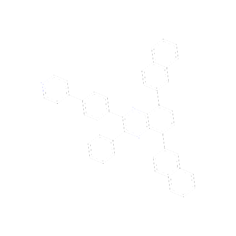 c1ccc(-c2nc3c(-c4ccc5ccccc5c4)ccc(-c4ccc5ccccc5c4)c3nc2-c2ccc(-c3ccncc3)cc2)cc1